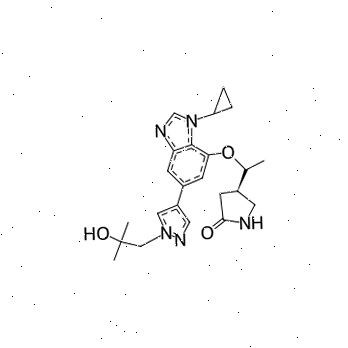 CC(Oc1cc(-c2cnn(CC(C)(C)O)c2)cc2ncn(C3CC3)c12)[C@H]1CNC(=O)C1